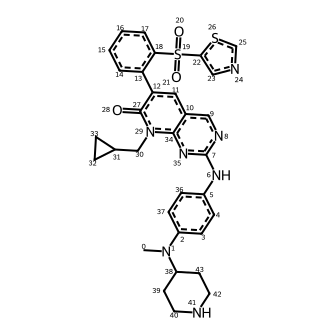 CN(c1ccc(Nc2ncc3cc(-c4ccccc4S(=O)(=O)c4cncs4)c(=O)n(CC4CC4)c3n2)cc1)C1CCNCC1